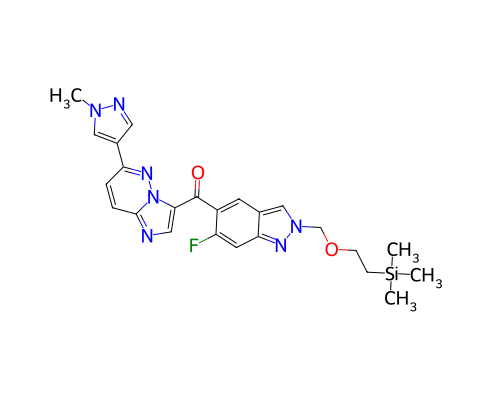 Cn1cc(-c2ccc3ncc(C(=O)c4cc5cn(COCC[Si](C)(C)C)nc5cc4F)n3n2)cn1